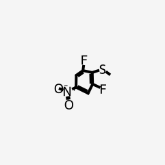 CSc1c(F)cc([N+](=O)[O-])cc1F